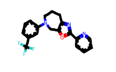 FC(F)(F)c1cccc(N2CCCc3nc(-c4ccccn4)oc3C2)c1